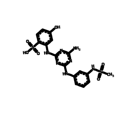 CS(=O)(=O)Nc1cccc(Nc2nc(N)nc(Nc3cc(O)ccc3S(=O)(=O)O)n2)c1